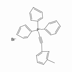 Cc1cccc(C#C[P+](c2ccccc2)(c2ccccc2)c2ccccc2)c1.[Br-]